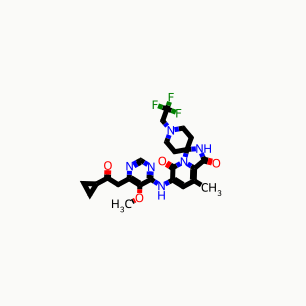 COc1c(CC(=O)C2CC2)ncnc1Nc1cc(C)c2n(c1=O)C1(CCN(CC(F)(F)F)CC1)NC2=O